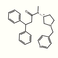 CN(C(=O)CC(c1ccccc1)c1ccccc1)[C@@H]1CCN(Cc2ccncc2)C1